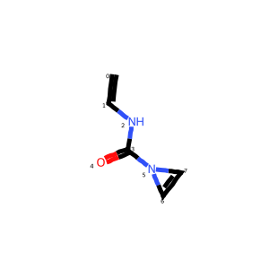 C=CNC(=O)N1C=C1